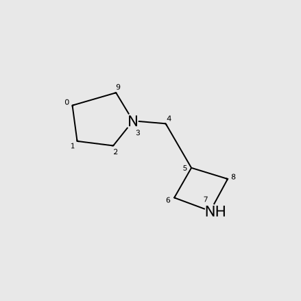 C1CCN(CC2CNC2)C1